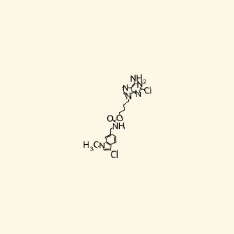 Cn1cc(Cl)c2ccc(CNC(=O)OCCCCn3cnc4c(N)nc(Cl)nc43)cc21